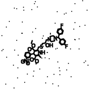 CCOC(=O)C1=C(CSCC(O)CN2CCN(C(c3ccc(F)cc3)c3ccc(F)cc3)CC2)NC(C)=C(C(=O)OC)C1c1cccc([N+](=O)[O-])c1